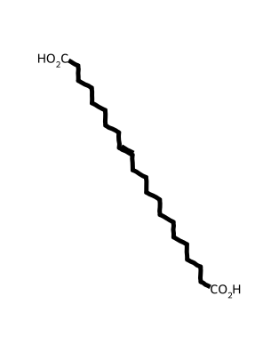 O=C(O)CCCCCCCC=CCCCCCCCCCCCC(=O)O